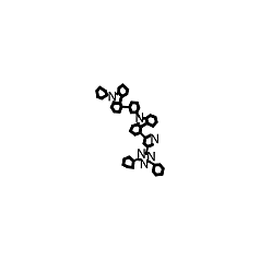 c1ccc(-c2nc(-c3ccccc3)nc(-c3cncc(-c4cccc5c4c4ccccc4n5-c4cccc(-c5cccc6c5c5ccccc5n6-c5ccccc5)c4)c3)n2)cc1